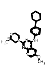 COc1cnc2nc(N3CCO[C@H](C)C3)nc(Nc3ccc(C4CCCCC4)cc3)c2c1